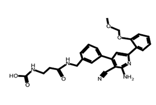 COCOc1ccccc1-c1cc(-c2cccc(CNC(=O)CCNC(=O)O)c2)c(C#N)c(N)n1